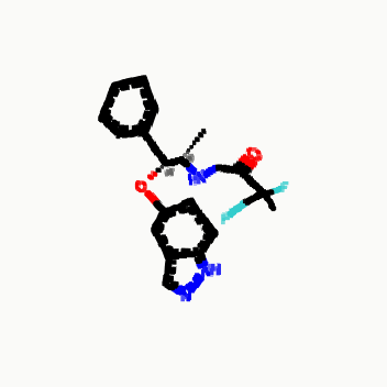 C[C@H](NC(=O)C(C)(F)F)[C@H](Oc1ccc2[nH]ncc2c1)c1ccccc1